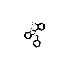 Clc1ccccc1-c1nc2ccccc2n1Cc1ccccc1